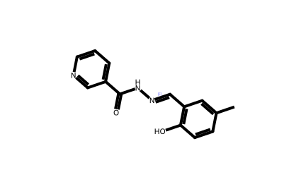 Cc1ccc(O)c(/C=N/NC(=O)c2cccnc2)c1